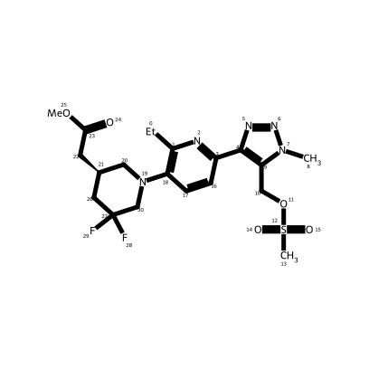 CCc1nc(-c2nnn(C)c2COS(C)(=O)=O)ccc1N1C[C@H](CC(=O)OC)CC(F)(F)C1